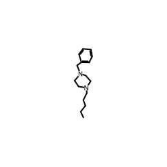 CCCCCN1CCN(Cc2ccccc2)CC1